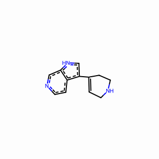 C1=C(c2c[nH]c3cnccc23)CCNC1